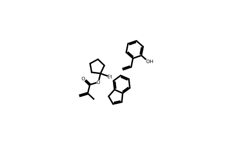 C1=Cc2ccccc2C1.C=C(C)C(=O)OC1(CC)CCCC1.C=Cc1ccccc1O